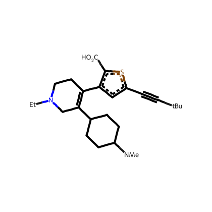 CCN1CCC(c2cc(C#CC(C)(C)C)sc2C(=O)O)=C(C2CCC(NC)CC2)C1